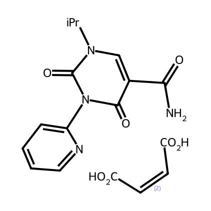 CC(C)n1cc(C(N)=O)c(=O)n(-c2ccccn2)c1=O.O=C(O)/C=C\C(=O)O